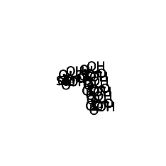 O=CC(O)C(O)C(=O)S(=O)(=O)[O-].O=CC(O)C(O)C(=O)S(=O)(=O)[O-].O=CC(O)C(O)C(=O)S(=O)(=O)[O-].O=CC(O)C(O)C(=O)S(=O)(=O)[O-].[Sn+4]